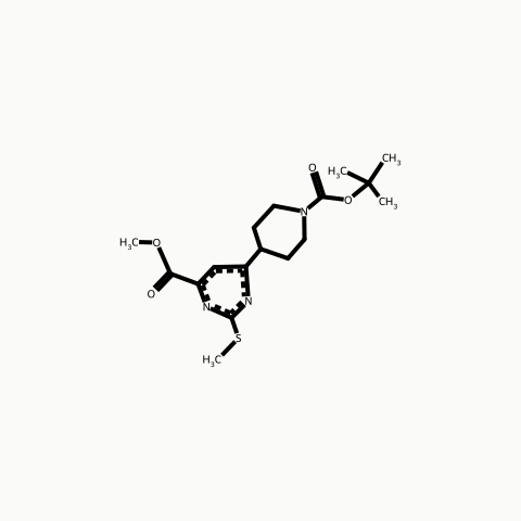 COC(=O)c1cc(C2CCN(C(=O)OC(C)(C)C)CC2)nc(SC)n1